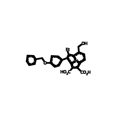 CCc1c(-c2ccc(OCc3ccccc3)cc2)c2c(C(=O)O)c(C(=O)O)c3ccc(CO)c1n32